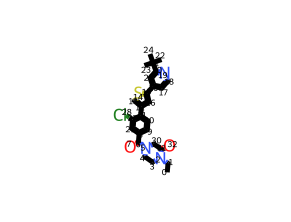 CCN1CCN(C(=O)c2ccc(-c3csc(-c4ccnc(C(C)(C)C)c4)c3)c(Cl)c2)CC1=O